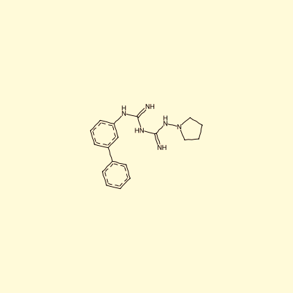 N=C(NC(=N)NN1CCCC1)Nc1cccc(-c2ccccc2)c1